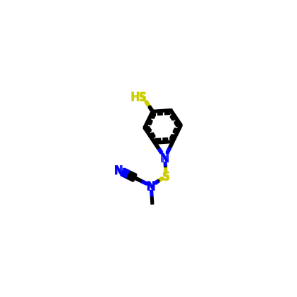 CN(C#N)SN1c2ccc(S)cc21